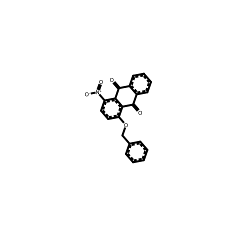 O=C1c2ccccc2C(=O)c2c([N+](=O)[O-])ccc(OCc3ccccc3)c21